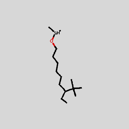 CCC(CCCCC[CH]O[SiH](C)C)C(C)(C)C